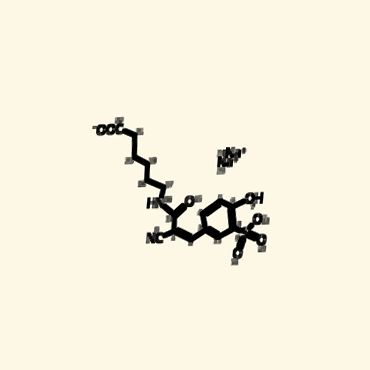 N#CC(=Cc1ccc(O)c(S(=O)(=O)[O-])c1)C(=O)NCCCCCC(=O)[O-].[Na+].[Na+]